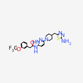 Nc1nnc(CC2CCN(C3=NNC(NC(=O)Cc4cccc(OC(F)(F)F)c4)C=C3)CC2)s1